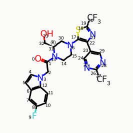 O=C(Cn1ccc2cc(F)ccc21)N1CCN(c2sc(C(F)(F)F)nc2-c2cnc(C(F)(F)F)nc2)C[C@@H]1CO